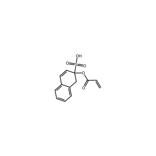 C=CC(=O)OC1(S(=O)(=O)O)C=Cc2ccccc2C1